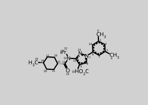 Cc1cc(C)cc(-n2cc(C(=O)O)c(N(C(=O)[C@H]3CC[C@H](C)CC3)C(C)C)n2)c1